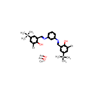 CC(=O)[O-].CC(=O)[O-].CCc1cc([Si](C)(C)C)cc(C=Nc2cccc(N=Cc3cc([Si](C)(C)C)cc(CC)c3O)c2)c1O.[Co+2]